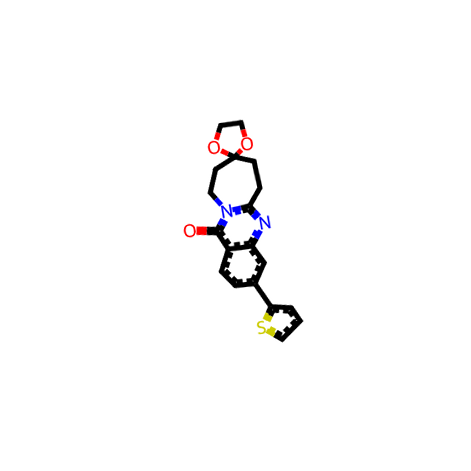 O=c1c2ccc(-c3cccs3)cc2nc2n1CCC1(CC2)OCCO1